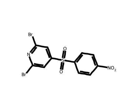 O=[N+]([O-])c1ccc(S(=O)(=O)c2cc(Br)nc(Br)c2)cc1